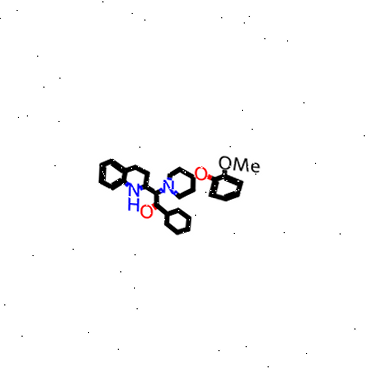 COc1ccccc1OC1CCN(C(C(=O)C2CCCCC2)C2CCc3ccccc3N2)CC1